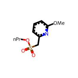 CCCOS(=O)(=O)Cc1cccc(OC)n1